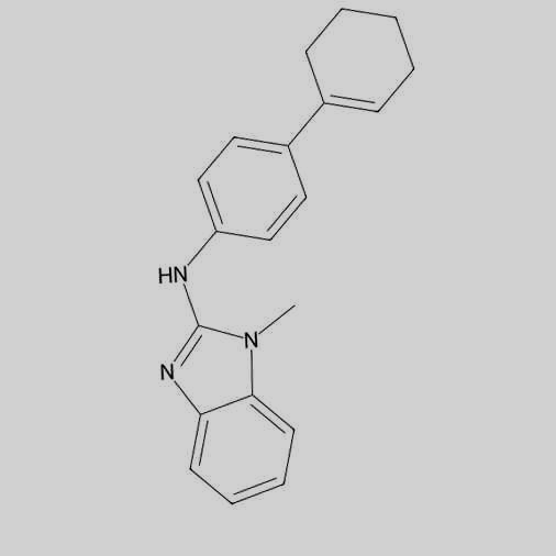 Cn1c(Nc2ccc(C3=CCCCC3)cc2)nc2ccccc21